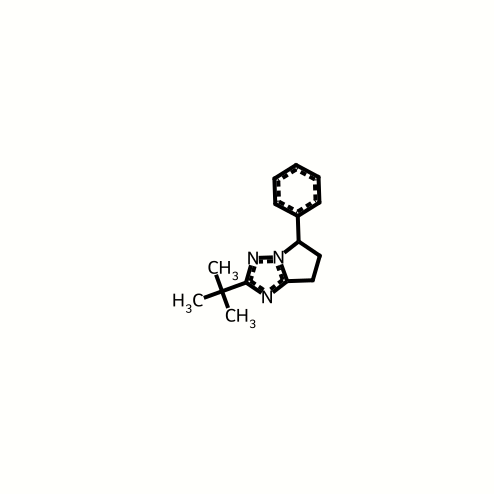 CC(C)(C)c1nc2n(n1)C(c1ccccc1)CC2